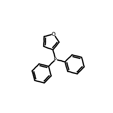 c1ccc(P(c2ccccc2)c2ccoc2)cc1